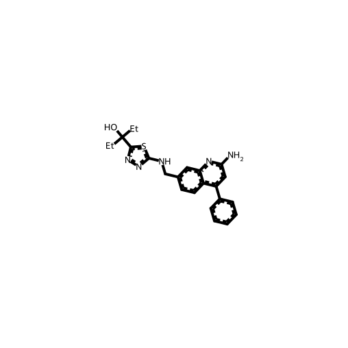 CCC(O)(CC)c1nnc(NCc2ccc3c(-c4ccccc4)cc(N)nc3c2)s1